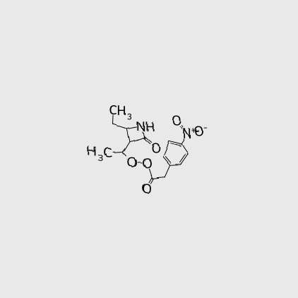 CCC1NC(=O)C1C(C)OOC(=O)Cc1ccc([N+](=O)[O-])cc1